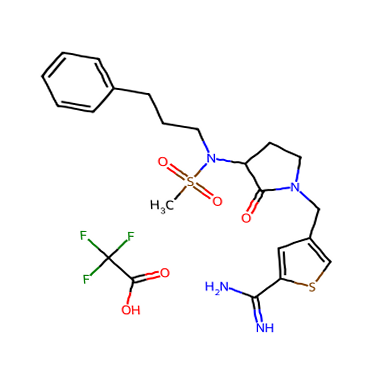 CS(=O)(=O)N(CCCc1ccccc1)C1CCN(Cc2csc(C(=N)N)c2)C1=O.O=C(O)C(F)(F)F